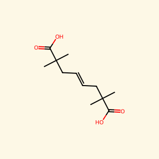 CC(C)(CC=CCC(C)(C)C(=O)O)C(=O)O